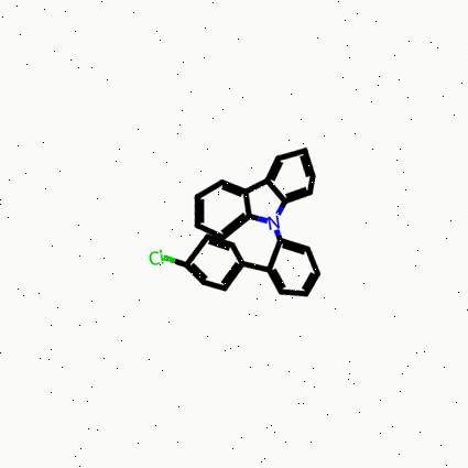 Clc1ccc(-c2ccccc2-n2c3ccccc3c3ccccc32)cc1